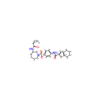 C=CC(=O)NC1CCCCN(S(=O)(=O)c2ccc(NC(=O)c3cc4c(s3)CCCC4)cc2)C1